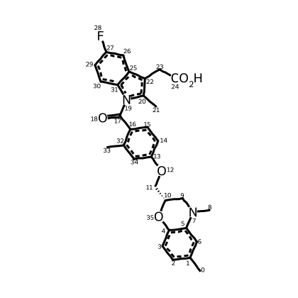 Cc1ccc2c(c1)N(C)C[C@@H](COc1ccc(C(=O)n3c(C)c(CC(=O)O)c4cc(F)ccc43)c(C)c1)O2